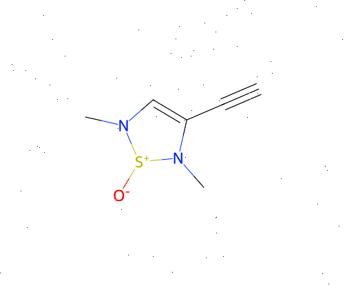 C#CC1=CN(C)[S+]([O-])N1C